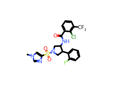 Cn1cnc(S(=O)(=O)N2CC(NC(=O)c3cccc(C(F)(F)F)c3Cl)C(c3ccccc3F)C2)c1